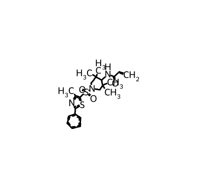 C=CC(=O)NC1C(C)(C)CN(S(=O)(=O)c2sc(-c3ccccc3)nc2C)CC1(C)C